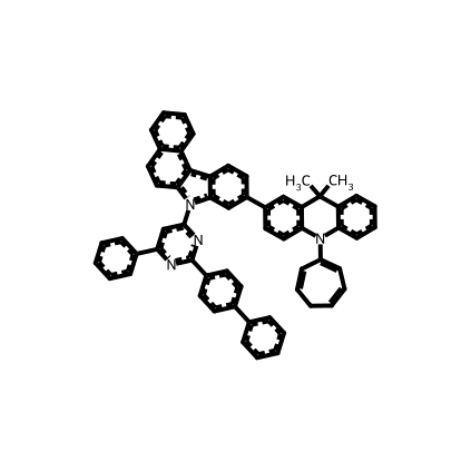 CC1(C)c2ccccc2N(C2=CC=CCC=C2)c2ccc(-c3ccc4c5c6ccccc6ccc5n(-c5cc(-c6ccccc6)nc(-c6ccc(-c7ccccc7)cc6)n5)c4c3)cc21